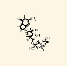 C[C@]1(O)[C@H](N2C=NC3C(=O)NC(N)=NC32)O[C@](F)(COP(=O)(O)OP(=O)(O)OP(=O)(O)O)[C@H]1O